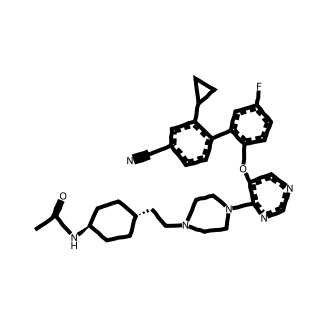 CC(=O)N[C@H]1CC[C@H](CCN2CCN(c3ncncc3Oc3ccc(F)cc3-c3ccc(C#N)cc3C3CC3)CC2)CC1